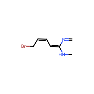 C=N/C(=C\C=C/CBr)NC